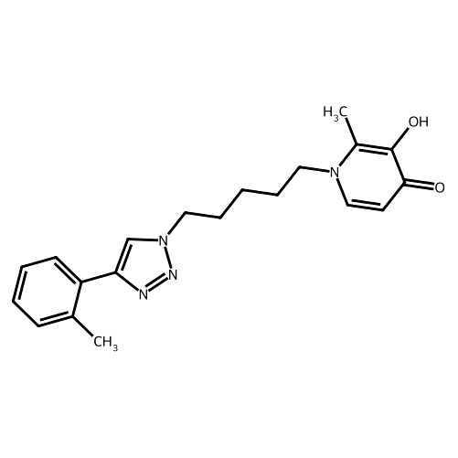 Cc1ccccc1-c1cn(CCCCCn2ccc(=O)c(O)c2C)nn1